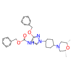 C[C@@H]1CN(C2CCC(n3cc(NC(=O)OCc4ccccc4)c(OCc4ccccc4)n3)CC2)C[C@H](C)O1